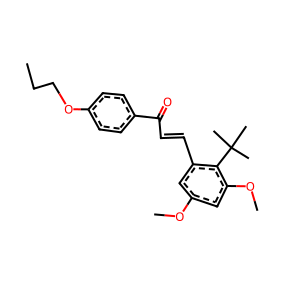 CCCOc1ccc(C(=O)C=Cc2cc(OC)cc(OC)c2C(C)(C)C)cc1